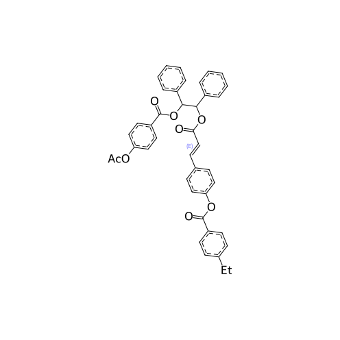 CCc1ccc(C(=O)Oc2ccc(/C=C/C(=O)OC(c3ccccc3)C(OC(=O)c3ccc(OC(C)=O)cc3)c3ccccc3)cc2)cc1